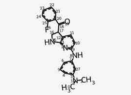 CN(C)c1cccc(Nc2ccc3c(n2)NCC3C(=O)c2ccccc2F)c1